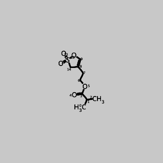 CC(C)C(=O)OCCC1=COS(=O)(=O)C1